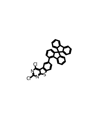 Clc1nc(Cl)c2c(n1)sc1ccc(-c3cccc4c3-c3ccccc3C43c4ccccc4-c4ccccc43)cc12